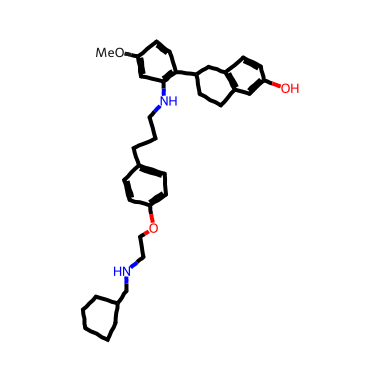 COc1ccc(C2CCc3cc(O)ccc3C2)c(NCCCc2ccc(OCCNCC3CCCCC3)cc2)c1